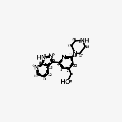 OCc1cc(-c2n[nH]c3ncccc23)nc(N2CCNCC2)c1